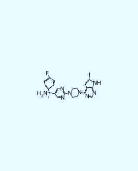 CC(N)(c1ccc(F)cc1)c1cnc(N2CCN(c3ncnc4[nH]c(I)cc34)CC2)nc1